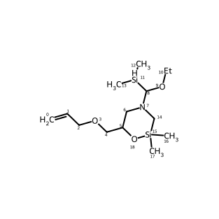 C=CCOCC1CN(C(OCC)[SiH](C)C)C[Si](C)(C)O1